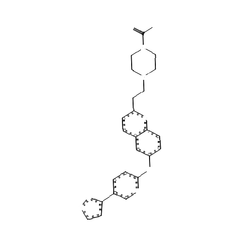 CC(=O)N1CCN(CCc2ccc3cc(Oc4ccc(-c5ccn[nH]5)cn4)ccc3n2)CC1